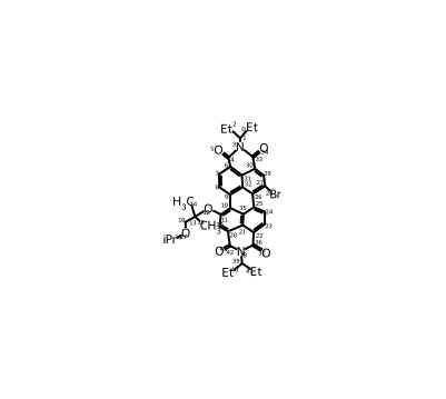 CCC(CC)N1C(=O)c2ccc3c4c(OC(C)(C)COC(C)C)cc5c6c(ccc(c7c(Br)cc(c2c37)C1=O)c64)C(=O)N(C(CC)CC)C5=O